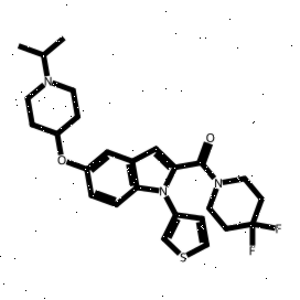 CC(C)N1CCC(Oc2ccc3c(c2)cc(C(=O)N2CCC(F)(F)CC2)n3-c2ccsc2)CC1